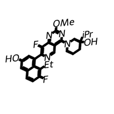 CCc1c(F)ccc2cc(O)cc(-c3ncc4c(N5CCCC(O)(C(C)C)C5)nc(OC)nc4c3F)c12